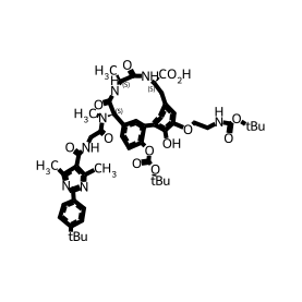 Cc1nc(-c2ccc(C(C)(C)C)cc2)nc(C)c1C(=O)NCC(=O)N(C)[C@@H]1C(=O)N[C@@H](C)C(=O)N[C@H](C(=O)O)Cc2cc(OCCNC(=O)OC(C)(C)C)c(O)c(c2)-c2cc1ccc2OC(=O)OC(C)(C)C